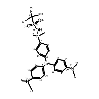 CN(C)c1ccc([S+](c2ccc(N(C)C)cc2)c2ccc(N(C)C)cc2)cc1.O=S(=O)(O)C(F)(F)F